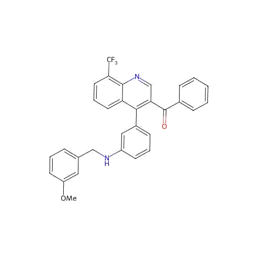 COc1cccc(CNc2cccc(-c3c(C(=O)c4ccccc4)cnc4c(C(F)(F)F)cccc34)c2)c1